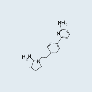 Nc1cccc(-c2ccc(CCN3CC[CH]C3N)cc2)n1